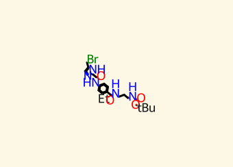 CCc1cc(NC(=O)c2ncc(CBr)[nH]2)ccc1C(=O)NCCCNC(=O)OC(C)(C)C